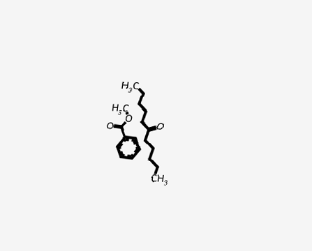 CCCCCC(=O)CCCCC.COC(=O)c1ccccc1